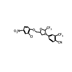 N#Cc1ccc(N2CC(COc3ccc([N+](=O)[O-])cc3Cl)OC2C(F)(F)F)cc1C(F)(F)F